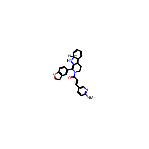 CNc1ccc(/C=C/C(=O)N2CCC3=C4C=CC=C[C@H]4NC3=C2c2ccc3c(c2)CCO3)cn1